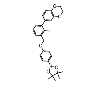 Cc1c(COc2ccc(B3OC(C)(C)C(C)(C)O3)cc2)cccc1-c1ccc2c(c1)OCCO2